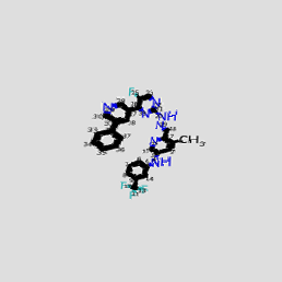 Cc1cc(Nc2cccc(C(F)(F)F)c2)cnc1/C=N/Nc1ncc(F)c(-c2cncc(-c3ccccc3)c2)n1